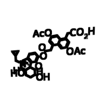 CC(=O)Oc1cc(CC(=O)Oc2ccc3c4c2O[C@H]2C(O)CC[C@@]5(O)[C@@H](C3)N(CC3CC3)CC[C@]425)c2cc(OC(C)=O)cc(CC(=O)O)c2c1